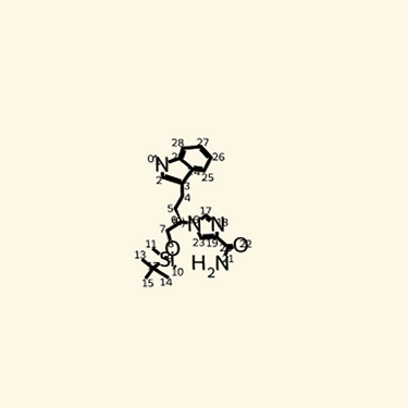 Cn1cc(CC[C@H](CO[Si](C)(C)C(C)(C)C)n2cnc(C(N)=O)c2)c2ccccc21